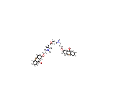 CCC(C)(CCN(C)CCCOc1ccc2sc3ccccc3c(=O)c2c1)OCCC(C)(CC)N(C)CCCOc1ccc2sc3ccccc3c(=O)c2c1